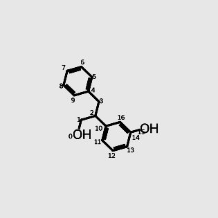 OCC(Cc1ccccc1)c1cccc(O)c1